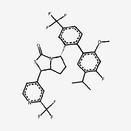 COc1cc(F)c(C(C)C)cc1-c1ccc(C(F)(F)F)cc1[C@@H]1CCC2C(c3ccnc(C(F)(F)F)c3)SC(=O)N21